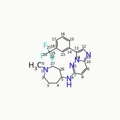 CN1CCCC(Nc2ccc3ncc(-c4cccc(C(F)(F)F)c4)n3n2)CC1